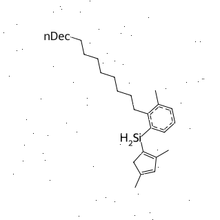 CCCCCCCCCCCCCCCCCCc1c(C)cccc1[SiH2]C1=C(C)C=C(C)C1